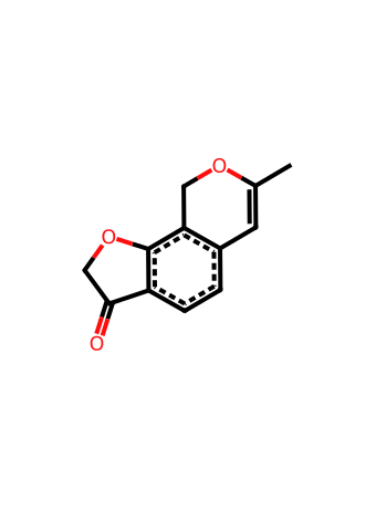 CC1=Cc2ccc3c(c2CO1)OCC3=O